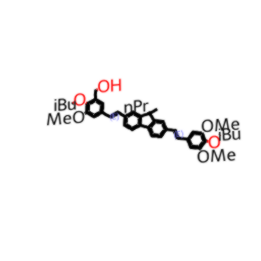 CCCC1(C)c2cc(/C=C/c3cc(CO)c(OC(C)CC)c(OC)c3)ccc2-c2ccc(/C=C/c3cc(OC)c(OC(C)CC)c(OC)c3)cc21